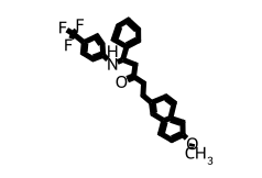 COc1ccc2cc(CCC(=O)CC(Nc3ccc(C(F)(F)F)cc3)c3ccccc3)ccc2c1